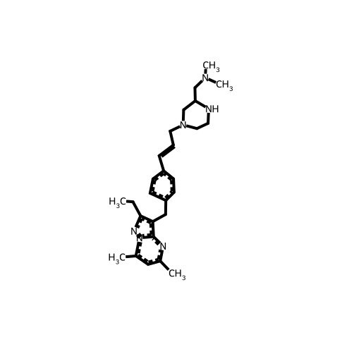 CCc1nn2c(C)cc(C)nc2c1Cc1ccc(C=CCN2CCNC(CN(C)C)C2)cc1